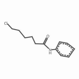 O=C(CCCCCCl)Nc1ccccc1